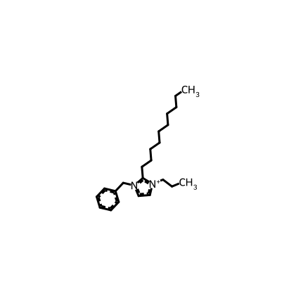 CCCCCCCCCCc1n(Cc2ccccc2)cc[n+]1CCC